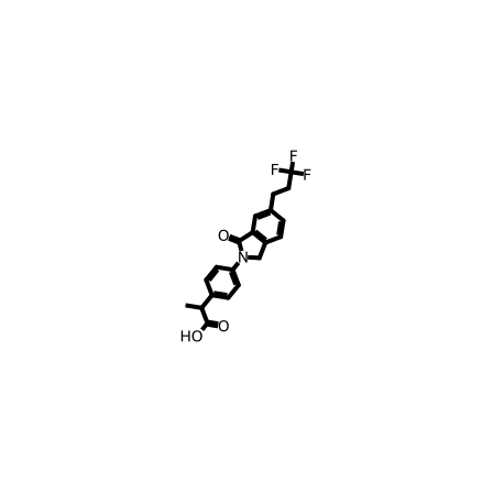 CC(C(=O)O)c1ccc(N2Cc3ccc(CCC(F)(F)F)cc3C2=O)cc1